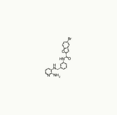 Nc1ncccc1NCc1cccc(NC(=O)c2cc3cc(Br)ccc3o2)c1